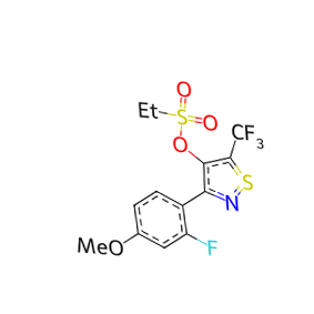 CCS(=O)(=O)Oc1c(-c2ccc(OC)cc2F)nsc1C(F)(F)F